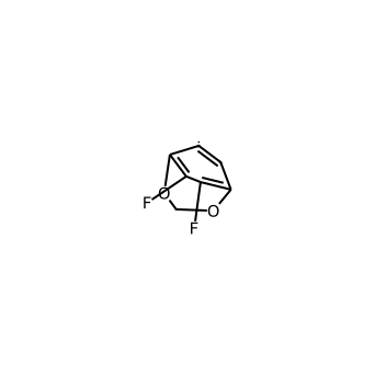 Fc1c2[c]cc(c1F)OCO2